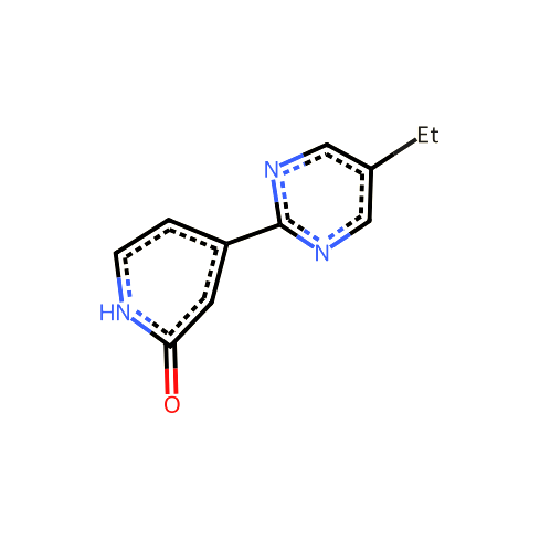 CCc1cnc(-c2cc[nH]c(=O)c2)nc1